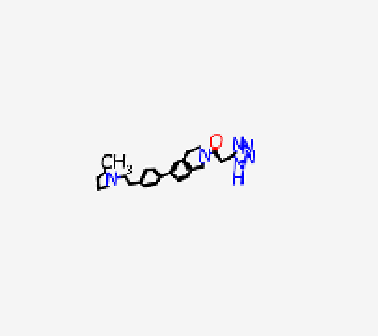 C[C@@H]1CCCN1CCc1ccc(-c2ccc3c(c2)CCN(C(=O)Cc2nnn[nH]2)C3)cc1